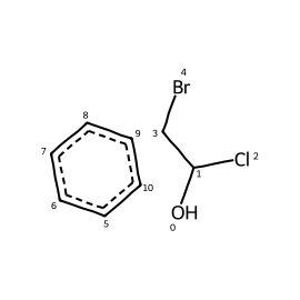 OC(Cl)CBr.c1ccccc1